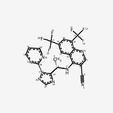 C[C@H](Nc1c(C#N)cnc2c(C(F)(F)F)cc(C(F)(F)F)cc12)c1ncnn1-c1ncccn1